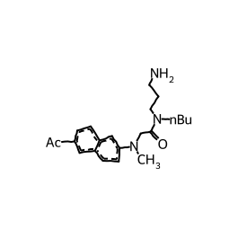 CCCCN(CCCN)C(=O)CN(C)c1ccc2cc(C(C)=O)ccc2c1